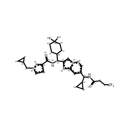 O=C(CCC(F)(F)F)NC(c1cnn2cc([C@@H](NC(=O)c3ccn(CC4CC4)n3)C3CCC(F)(F)CC3)nc2c1)C1CC1